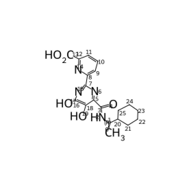 C[C@@H](NC(=O)c1nc(-c2cccc(C(=O)O)n2)nc(O)c1O)C1CCCCC1